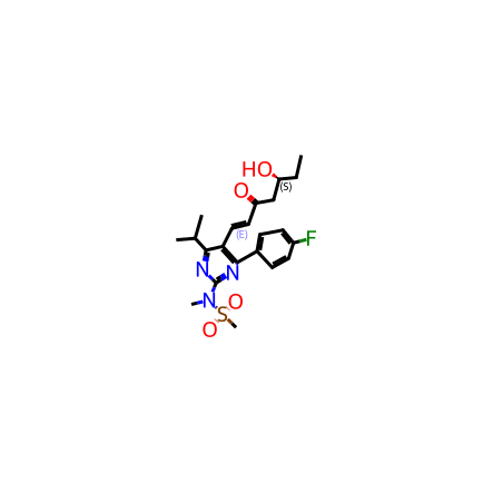 CC[C@H](O)CC(=O)/C=C/c1c(-c2ccc(F)cc2)nc(N(C)S(C)(=O)=O)nc1C(C)C